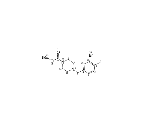 Cc1ccc(CN2CCN(C(=O)OC(C)(C)C)CC2)cc1Br